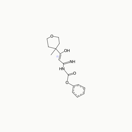 CC1(/C(O)=C/C(=N)NC(=O)Oc2ccccc2)CCOCC1